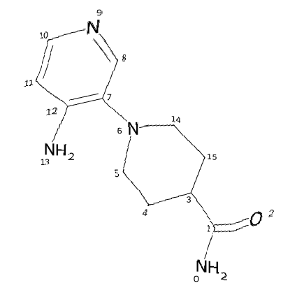 NC(=O)C1CCN(c2cnccc2N)CC1